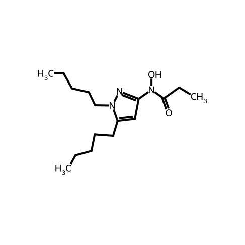 CCCCCc1cc(N(O)C(=O)CC)nn1CCCCC